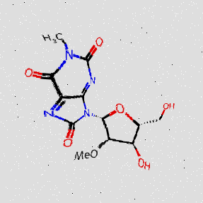 CO[C@@H]1[C@H](O)[C@@H](CO)O[C@H]1N1C(=O)N=C2C(=O)N(C)C(=O)N=C21